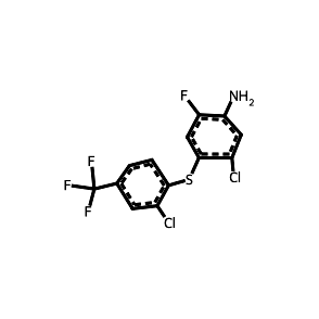 Nc1cc(Cl)c(Sc2ccc(C(F)(F)F)cc2Cl)cc1F